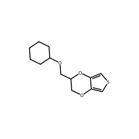 c1scc2c1OCC(COC1CCCCC1)O2